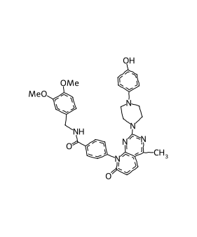 COc1ccc(CNC(=O)c2ccc(-n3c(=O)ccc4c(C)nc(N5CCN(c6ccc(O)cc6)CC5)nc43)cc2)cc1OC